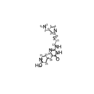 CN(C)Cc1ccnc(CSCCNc2ncc(Cc3ccnc(O)c3)c(=O)[nH]2)c1